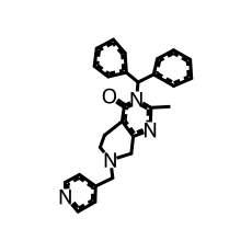 Cc1nc2c(c(=O)n1C(c1ccccc1)c1ccccc1)CCN(Cc1ccncc1)C2